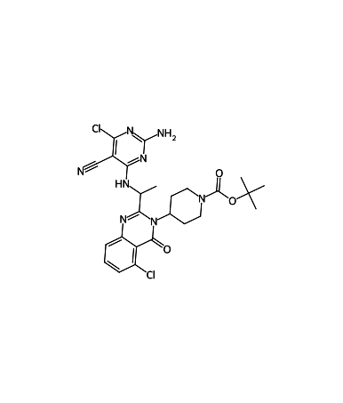 CC(Nc1nc(N)nc(Cl)c1C#N)c1nc2cccc(Cl)c2c(=O)n1C1CCN(C(=O)OC(C)(C)C)CC1